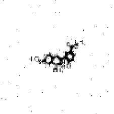 COC(=O)c1ccc(Cl)c(C2=Cc3cnc(SC)nc3N(C)C2O)c1